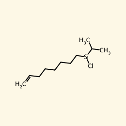 C=CCCCCCC[Si](Cl)C(C)C